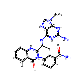 CNn1cnc2c(NC(C)c3nc4cccc(C)c4c(=O)n3-c3cccc(C(N)=O)c3)nc(N)nc21